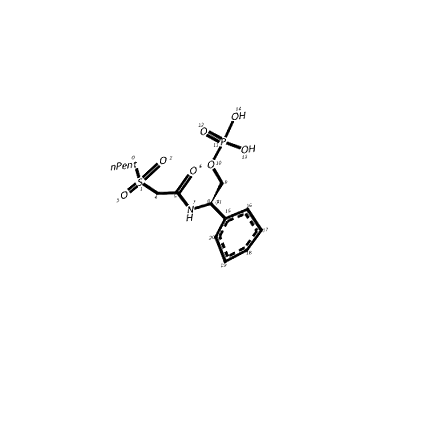 CCCCCS(=O)(=O)CC(=O)N[C@@H](COP(=O)(O)O)c1ccccc1